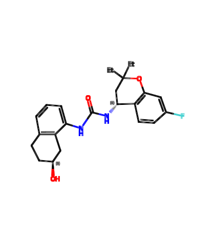 CCC1(CC)C[C@@H](NC(=O)Nc2cccc3c2C[C@@H](O)CC3)c2ccc(F)cc2O1